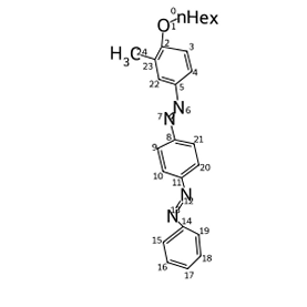 CCCCCCOc1ccc(N=Nc2ccc(N=Nc3ccccc3)cc2)cc1C